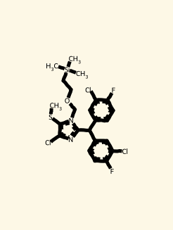 CSc1c(Cl)nc(C(c2ccc(F)c(Cl)c2)c2ccc(F)c(Cl)c2)n1COCC[Si](C)(C)C